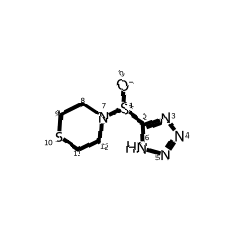 [O-][S+](c1nnn[nH]1)N1CCSCC1